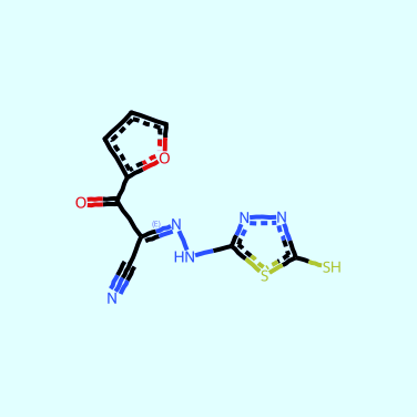 N#C/C(=N\Nc1nnc(S)s1)C(=O)c1ccco1